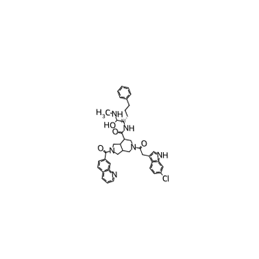 CNC(O)[C@H](CCCc1ccccc1)NC(=O)C1CN(C(=O)Cc2c[nH]c3cc(Cl)ccc23)CC2CN(C(=O)c3ccc4cccnc4c3)CC21